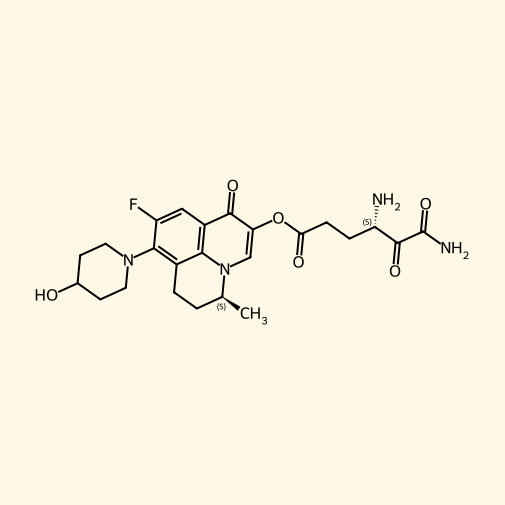 C[C@H]1CCc2c(N3CCC(O)CC3)c(F)cc3c(=O)c(OC(=O)CC[C@H](N)C(=O)C(N)=O)cn1c23